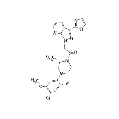 COc1cc(N2CCN(C(=O)Cn3nc(-c4ncco4)c4cccnc43)[C@@H](C)C2)c(F)cc1Cl